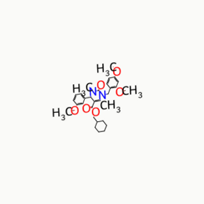 COc1cccc(C2C(C(=O)OCC3CCCCC3)=C(C)N(Cc3ccc(OC)cc3OC)C(=O)N2C)c1